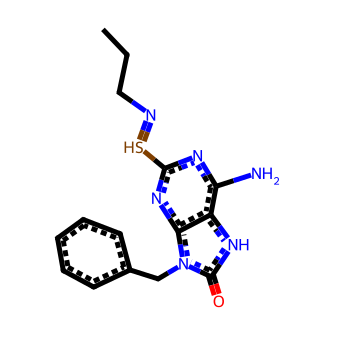 CCCN=[SH]c1nc(N)c2[nH]c(=O)n(Cc3ccccc3)c2n1